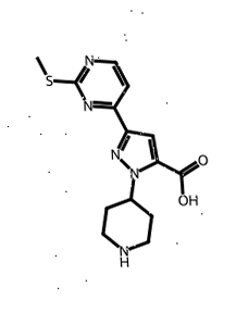 CSc1nccc(-c2cc(C(=O)O)n(C3CCNCC3)n2)n1